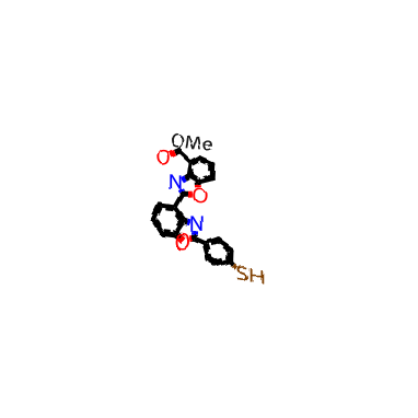 COC(=O)c1cccc2oc(-c3cccc4oc(-c5ccc(S)cc5)nc34)nc12